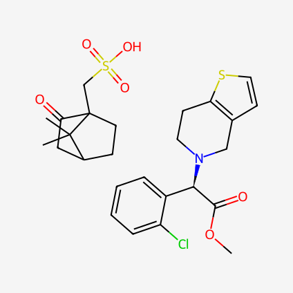 CC1(C)C2CCC1(CS(=O)(=O)O)C(=O)C2.COC(=O)[C@@H](c1ccccc1Cl)N1CCc2sccc2C1